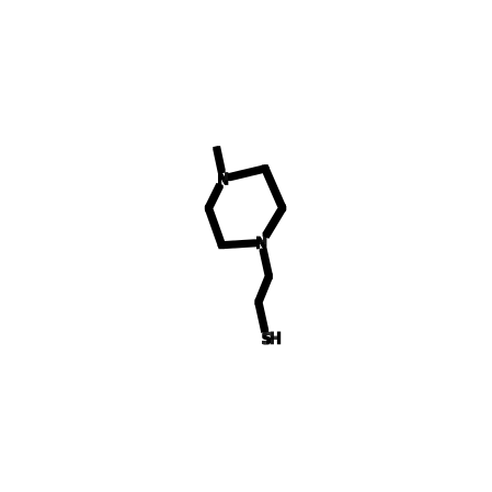 CN1CCN(CCS)CC1